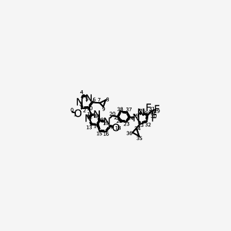 COc1ncnc(C2CC2)c1-c1ncc2ccc(=O)n(Cc3ccc(-n4nc(C(F)(F)F)cc4C4CC4)cc3)c2n1